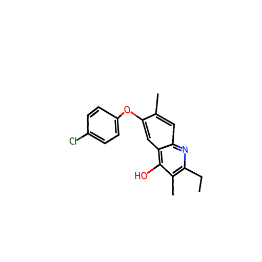 CCc1nc2cc(C)c(Oc3ccc(Cl)cc3)cc2c(O)c1C